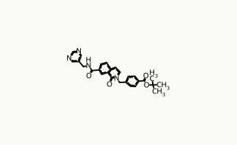 CC(C)(C)OC(=O)c1ccc(Cn2ccc3ccc(C(=O)NCc4cncnc4)cc3c2=O)cc1